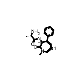 C[C@H](N)C(=O)NC1C(=O)N(C)C=CC=C1c1ccccc1.Cl